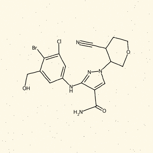 N#CC1CCOCC1n1cc(C(N)=O)c(Nc2cc(Cl)c(Br)c(CO)c2)n1